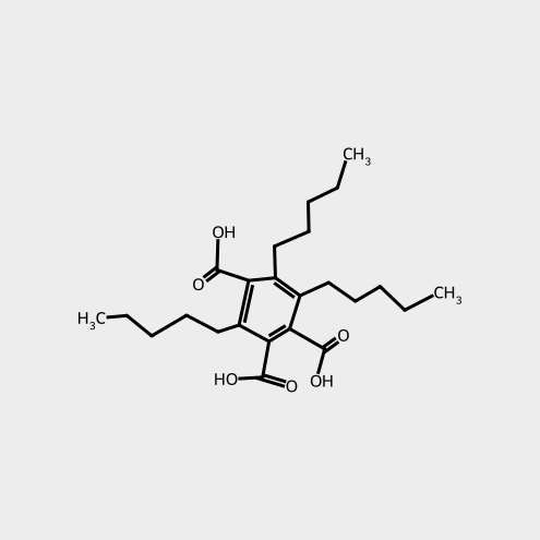 CCCCCc1c(CCCCC)c(C(=O)O)c(C(=O)O)c(CCCCC)c1C(=O)O